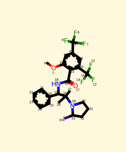 COc1cc(C(F)(F)F)cc(C(F)(F)F)c1C(=O)NC(c1ccccc1)C(C)(C)N1CCCC1I